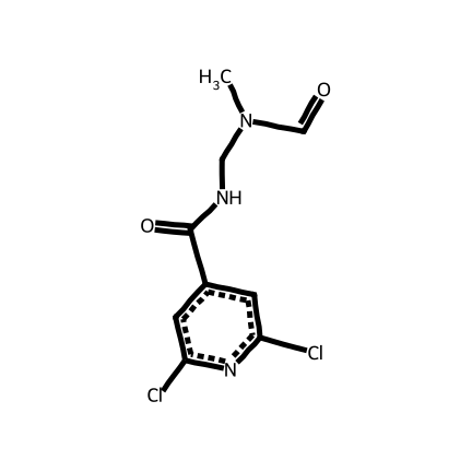 CN(C=O)CNC(=O)c1cc(Cl)nc(Cl)c1